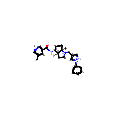 Cc1cncc(C(=O)N[C@H]2CC[C@@H]3[C@H]2CCN3Cc2cnn(-c3ccccc3)c2)c1